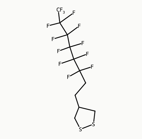 FC(F)(F)C(F)(F)C(F)(F)C(F)(F)C(F)(F)C(F)(F)CCC1CSSC1